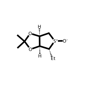 CC[C@@H]1[C@H]2OC(C)(C)O[C@H]2C[S+]1[O-]